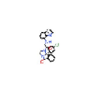 O=C(CNc1cccc2cccnc12)N1CCN2C(=O)c3ccccc3C12c1ccc(Cl)cc1